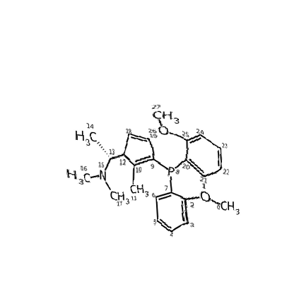 COc1ccccc1P(C1=C(C)C([C@@H](C)N(C)C)C=C1)c1ccccc1OC